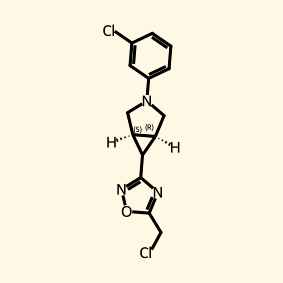 ClCc1nc(C2[C@H]3CN(c4cccc(Cl)c4)C[C@@H]23)no1